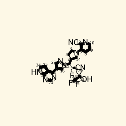 N#CC[C@@H]([C@H]1CCN(c2cccnc2C#N)C1)n1cc(-c2ncnc3[nH]ccc23)cn1.O=C(O)C(F)(F)F